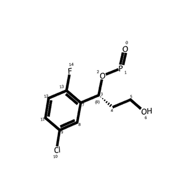 O=PO[C@H](CCO)c1cc(Cl)ccc1F